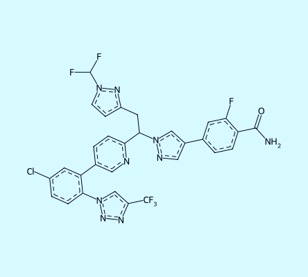 NC(=O)c1ccc(-c2cnn(C(Cc3ccn(C(F)F)n3)c3ccc(-c4cc(Cl)ccc4-n4cc(C(F)(F)F)nn4)cn3)c2)cc1F